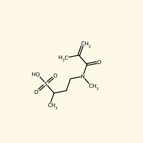 C=C(C)C(=O)N(C)CCC(C)S(=O)(=O)O